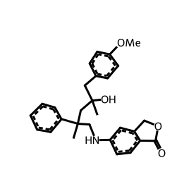 COc1ccc(CC(C)(O)CC(C)(CNc2ccc3c(c2)COC3=O)c2ccccc2)cc1